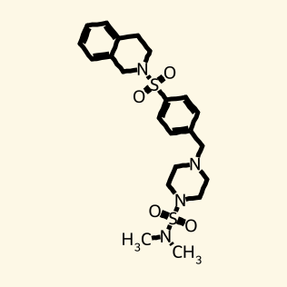 CN(C)S(=O)(=O)N1CCN(Cc2ccc(S(=O)(=O)N3CCc4ccccc4C3)cc2)CC1